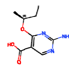 CC[C@H](C)Oc1nc(N)ncc1C(=O)O